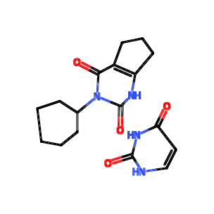 O=c1[nH]c2c(c(=O)n1C1CCCCC1)CCC2.O=c1cc[nH]c(=O)[nH]1